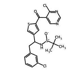 CC(C)(C)[S+]([O-])NC(Cc1cccc(Cl)c1)c1csc(C(=O)c2cncnc2Cl)c1